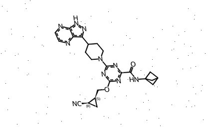 N#C[C@@H]1C[C@@H]1COc1nc(C(=O)NC23CC(C2)C3)nc(N2CCC(c3n[nH]c4nccnc34)CC2)n1